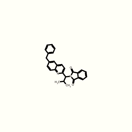 CC(C)C(c1ccc2cc(Cc3ccccc3)ccc2n1)N1C(=O)c2ccccc2C1=O